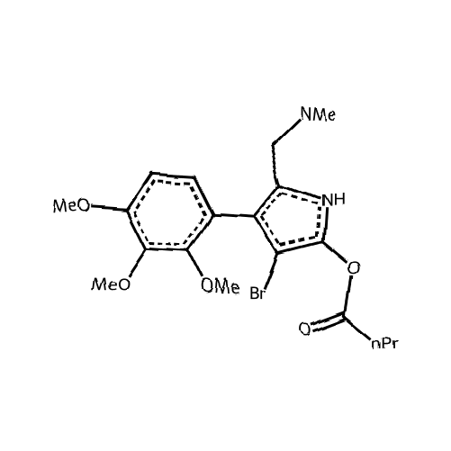 CCCC(=O)Oc1[nH]c(CNC)c(-c2ccc(OC)c(OC)c2OC)c1Br